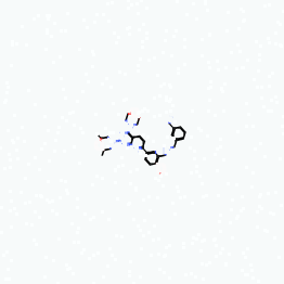 COc1ccc(-c2ccc3c(N4CCOCC4)nc(N4CC(C)OC(C)C4)nc3n2)cc1CNCc1cccc(CN)c1